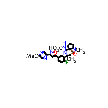 CN=[S@@]1(=O)C[C@@](C)(c2cc(-c3cc(-c4cnc(OC)cn4)no3)ccc2F)N=C(NC(=O)O)C12CCCC2